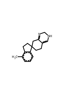 Cc1cccc2c1CCC21CCC2=CNCN=C2C1